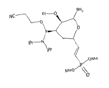 BC1OC(/C=C/P(=O)(OC)OC)C[C@@H](P(OCCC#N)N(C(C)C)C(C)C)[C@H]1OCC